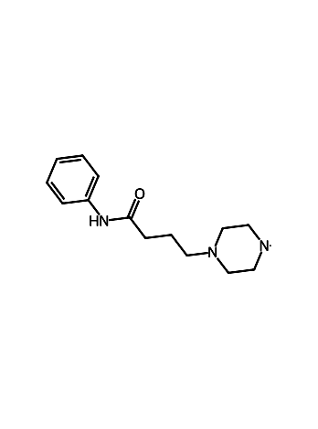 O=C(CCCN1CC[N]CC1)Nc1ccccc1